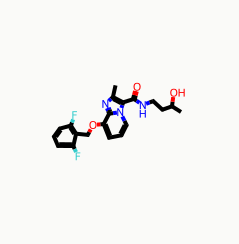 Cc1nc2c(OCc3c(F)cccc3F)cccn2c1C(=O)NCCC(C)O